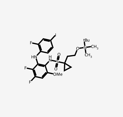 COc1cc(F)c(F)c(Nc2ccc(I)cc2F)c1NS(=O)(=O)C1(CCO[Si](C)(C)C(C)(C)C)CC1